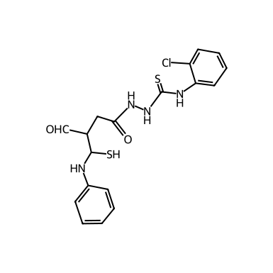 O=CC(CC(=O)NNC(=S)Nc1ccccc1Cl)C(S)Nc1ccccc1